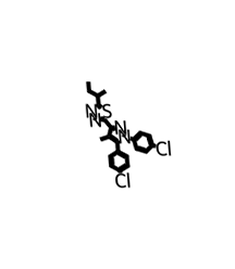 CCC(C)c1nnc(-c2nn(-c3ccc(Cl)cc3)c(-c3ccc(Cl)cc3)c2C)s1